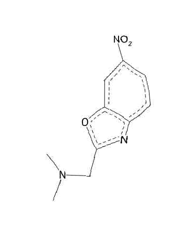 CN(C)Cc1nc2ccc([N+](=O)[O-])cc2o1